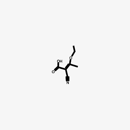 CCO/C(C)=C(/C#N)C(=O)O